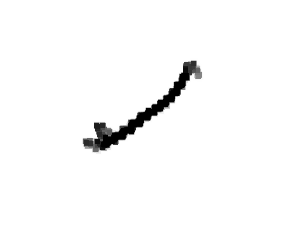 CCCCCCCCCCCCCCCCCCCCCCCCC(N)CN